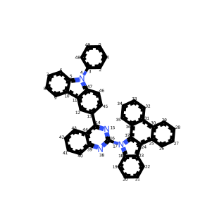 c1ccc(-n2c3ccccc3c3cc(-c4nc(-n5c6ccccc6c6c7ccccc7c7ccccc7c65)nc5ccccc45)ccc32)cc1